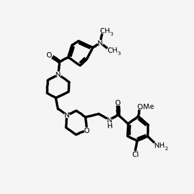 COc1cc(N)c(Cl)cc1C(=O)NCC1CN(CC2CCN(C(=O)c3ccc(N(C)C)cc3)CC2)CCO1